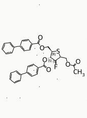 CC(=O)OCC1S[C@H](COC(=O)c2ccc(-c3ccccc3)cc2)[C@@H](OC(=O)c2ccc(-c3ccccc3)cc2)[C@@H]1F